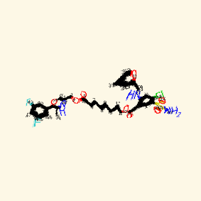 CC(COC(=O)CCCCCCCOC(=O)c1cc(S(N)(=O)=O)c(Cl)cc1NCc1ccco1)N[C@@H](C)C(=O)c1cc(F)cc(F)c1